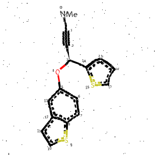 CNC#C[C@H](Oc1ccc2sccc2c1)c1cccs1